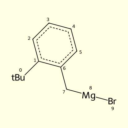 CC(C)(C)c1ccccc1[CH2][Mg][Br]